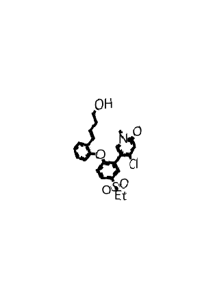 CCS(=O)(=O)c1ccc(Oc2ccccc2CCCCO)c(-c2cn(C)c(=O)cc2Cl)c1